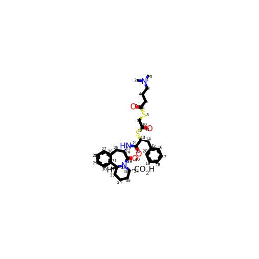 CN(C)CCCC(=O)SCC(=O)S[C@@H](Cc1ccccc1)C(=O)N[C@H]1Cc2ccccc2[C@H]2CCC[C@@H](C(=O)O)N2C1=O